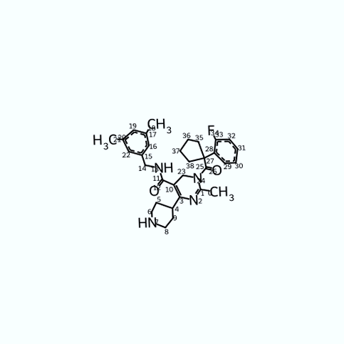 CC1=NC(C2CCNCC2)=C(C(=O)NCc2cc(C)cc(C)c2)CN1C(=O)C1(c2ccccc2F)CCCC1